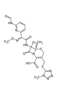 CON=C(C(=O)NC1(OC)C(=O)N2C(C(=O)O)=C(CSc3nnnn3C)CS[C@H]21)c1cccc(NC=O)n1